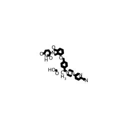 CC(c1ccc(COc2cccc3c2CN([C@H]2CCC(=O)NC2=O)C3=O)cc1)N1CCN(c2ccc(C#N)nc2)CC1.O=CO